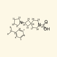 CC(C)c1ccccc1[C@@H]1CCCN1C1CC2(CCN(C(=O)O)CC2)C1